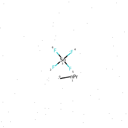 [CH2]CCC.[F][Sn]([F])([F])[F]